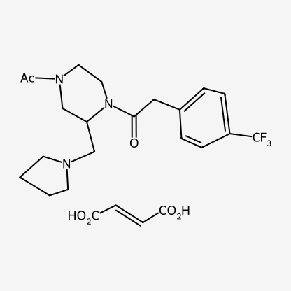 CC(=O)N1CCN(C(=O)Cc2ccc(C(F)(F)F)cc2)C(CN2CCCC2)C1.O=C(O)C=CC(=O)O